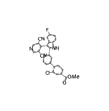 COC(=O)c1ccc(-c2cccc(-c3[nH]c4ccc(F)cc4c3-c3c(C#N)cncc3C#N)c2)c(Cl)c1